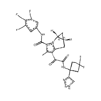 Cc1c(C(=O)C(=O)NC2(c3c[nH]nn3)CC(F)(F)C2)c2n(c1C(=O)Nc1cc(F)c(F)c(F)c1)[C@@H]1C[C@@H]1C2